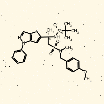 COc1ccc(CN(C)S(=O)(=O)C[C@](C)(N[S@+]([O-])C(C)(C)C)c2cc3c(cnn3-c3ccccc3)s2)cc1